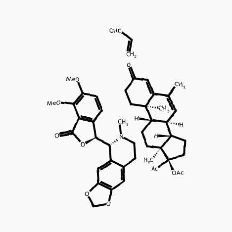 C=CC=O.CC(=O)O[C@]1(C(C)=O)CC[C@H]2[C@@H]3C=C(C)C4=CC(=O)CC[C@]4(C)[C@H]3CC[C@@]21C.COc1ccc2c(c1OC)C(=O)O[C@@H]2[C@H]1c2cc3c(cc2CCN1C)OCO3